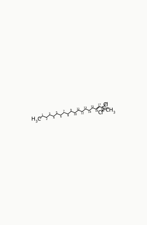 CCCCCCCCCCCCCCCCC=C[Si](C)(Cl)Cl